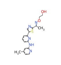 CC(=NOCCO)c1ncc(-c2cccc(Nc3cc(C)ccn3)n2)s1